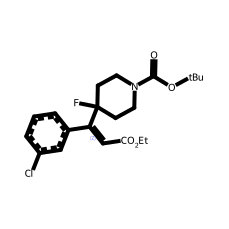 CCOC(=O)/C=C(/c1cccc(Cl)c1)C1(F)CCN(C(=O)OC(C)(C)C)CC1